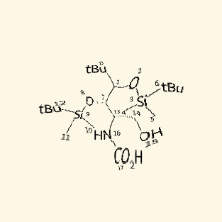 CC(C)(C)C(O[Si](C)(C)C(C)(C)C)[C@@H](O[Si](C)(C)C(C)(C)C)[C@H](CO)NC(=O)O